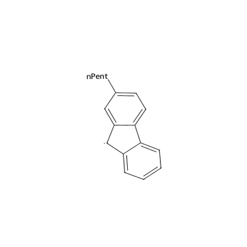 CCCCCc1ccc2c(c1)[CH]c1ccccc1-2